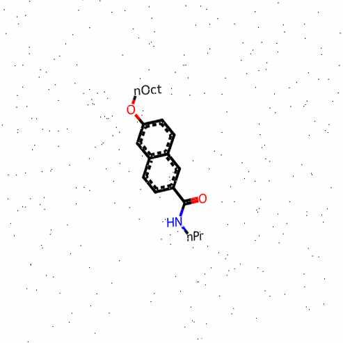 CCCCCCCCOc1ccc2cc(C(=O)NCCC)ccc2c1